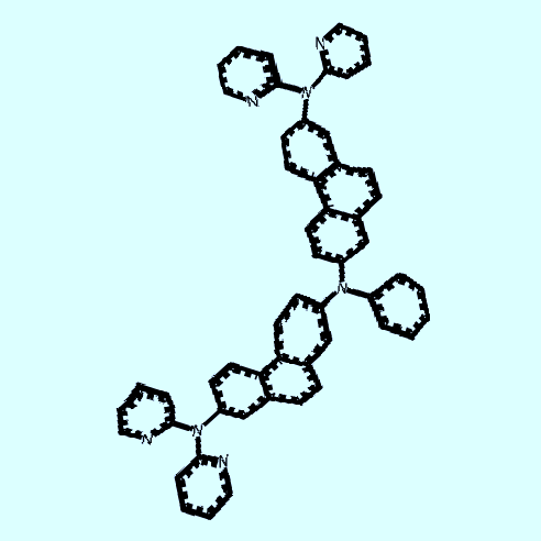 c1ccc(N(c2ccc3c(ccc4cc(N(c5ccccn5)c5ccccn5)ccc43)c2)c2ccc3c(ccc4cc(N(c5ccccn5)c5ccccn5)ccc43)c2)cc1